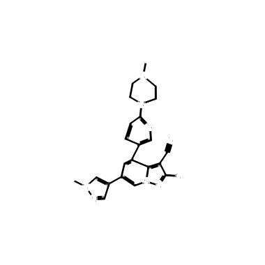 CN1CCN(c2ccc(-c3cc(-c4cnn(C)c4)cn4nc(N)c(C#N)c34)cn2)CC1